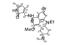 CCN(c1cc(Br)cc2c(NCc3c(C)cc(C)[nH]c3=O)nc(OC)cc12)C1CCC(N(C)C)CC1